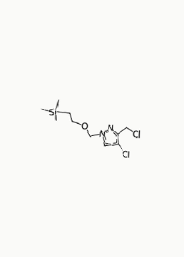 C[Si](C)(C)CCOCn1cc(Cl)c(CCl)n1